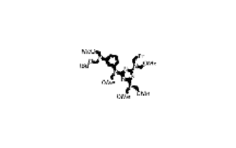 COCN(COC(C)(C)C)c1cccc(N(COC)c2nc(N(COC)COC)nc(N(COC)CC(C)C)n2)c1